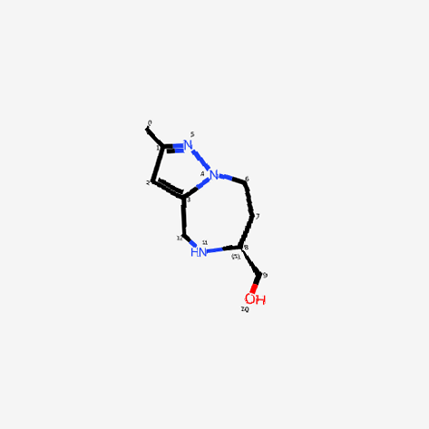 Cc1cc2n(n1)CC[C@@H](CO)NC2